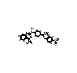 CN(C)c1nc(NC2CCC(C(=O)Nc3ccc([N+](=O)[O-])cc3F)CC2)nc2ccccc12